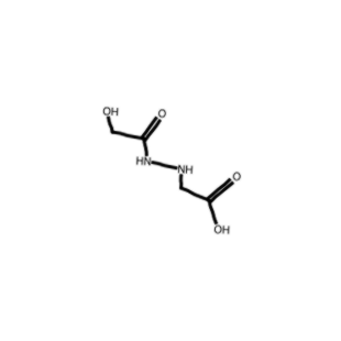 O=C(O)CNNC(=O)CO